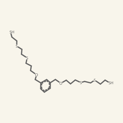 SCCSCCSCCCOCc1cccc(COCCCSCCSCCS)c1